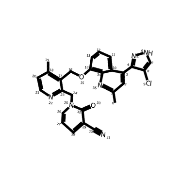 Cc1cc(-c2n[nH]cc2Cl)c2cccc(OCc3c(C)ccnc3Cn3cccc(C#N)c3=O)c2n1